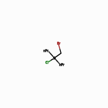 CCC[Si](Cl)(CBr)CCC